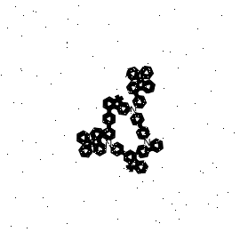 CC1(C)c2ccccc2-c2ccc(-c3ccc(N(c4ccc(-c5ccc(-c6cccc7c6-c6ccc(N(c8ccc(-c9ccc(-n%10c%11ccccc%11c%11ccccc%11%10)cc9)cc8)c8cccc(-c9cccc%10c9-c9ccccc9C%10(c9ccccc9)c9ccccc9)c8)cc6C7(C)C)cc5)cc4)c4cccc5c4-c4ccccc4C5(c4ccccc4)c4ccccc4)cc3)cc21